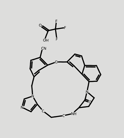 N#Cc1ccc2cc1Oc1ccc3cccc(c3c1)N1CCC(NCCCc3cncn3C2)C1=O.O=C(O)C(F)(F)F